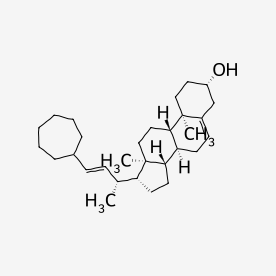 C[C@H](/C=C/C1CCCCCC1)[C@H]1CC[C@H]2[C@@H]3CC=C4C[C@@H](O)CC[C@]4(C)[C@H]3CC[C@]12C